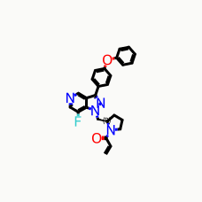 C=CC(=O)N1CCC[C@@H]1Cn1nc(-c2ccc(Oc3ccccc3)cc2)c2cncc(F)c21